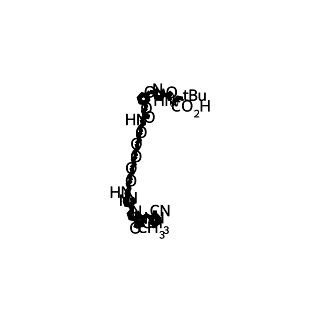 CC(C)(C)CC[C@H](NC(=O)c1ccc(Oc2cccc(OCC(=O)NCCOCCOCCOCCOCCOCCNc3ncc(-c4ccc5c(n4)N(Cc4cccnc4C#N)C(C)(C)C5=O)cn3)c2)nc1)C(=O)O